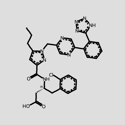 CCCc1cc(C(=O)N[C@@H](CC(=O)O)Cc2ccccc2Cl)nn1Cc1cnc(-c2ccccc2-c2nnn[nH]2)cn1